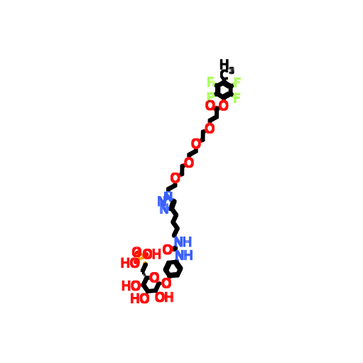 Cc1c(F)c(F)c(OC(=O)CCOCCOCCOCCOCCn2cc(CCCCNC(=O)Nc3ccc(O[C@@H]4O[C@@H](CCP(=O)(O)O)[C@H](O)[C@@H](O)[C@H]4O)cc3)nn2)c(F)c1F